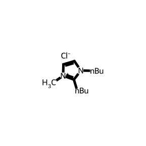 CCCCc1n(CCCC)cc[n+]1C.[Cl-]